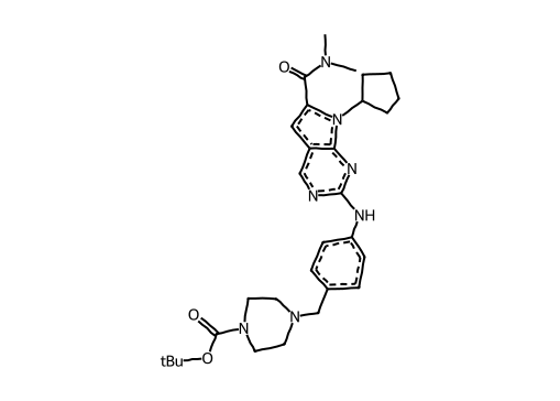 CN(C)C(=O)c1cc2cnc(Nc3ccc(CN4CCN(C(=O)OC(C)(C)C)CC4)cc3)nc2n1C1CCCC1